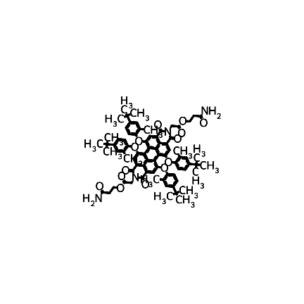 Cc1cc(C(C)(C)C)ccc1Oc1cc2c3c(cc(Oc4ccc(C(C)(C)C)cc4C)c4c5c(Oc6ccc(C(C)(C)C)cc6C)cc6c7c(cc(Oc8ccc(C(C)(C)C)cc8C)c(c1c34)c75)C(=O)N(CC(=O)OCCC(N)=O)C6=O)C(=O)N(CC(=O)OCCC(N)=O)C2=O